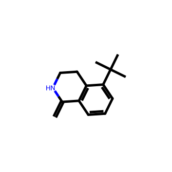 C=C1NCCc2c1cccc2C(C)(C)C